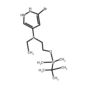 CCN(CCO[Si](C)(C)C(C)(C)C)C1=CNNC(Br)=C1